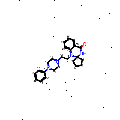 O=C1NC2(CCCC2)N(CCN2CCN(c3ccccc3)CC2)c2ccccc21